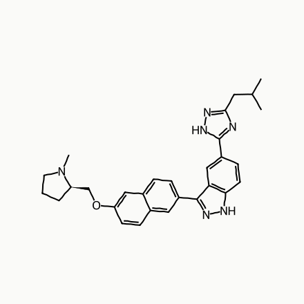 CC(C)Cc1n[nH]c(-c2ccc3[nH]nc(-c4ccc5cc(OC[C@H]6CCCN6C)ccc5c4)c3c2)n1